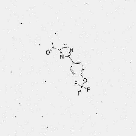 CC(=O)c1nc(-c2ccc(OC(F)(F)F)cc2)no1